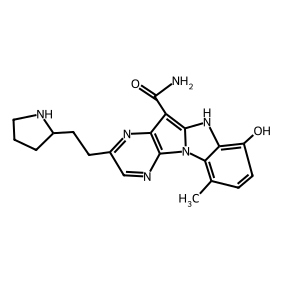 Cc1ccc(O)c2[nH]c3c(C(N)=O)c4nc(CCC5CCCN5)cnc4n3c12